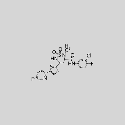 CN1C(C(=O)Nc2ccc(F)c(Cl)c2)CC(c2ccc(-c3ccc(F)cn3)s2)NS1(=O)=O